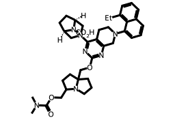 CCc1cccc2cccc(N3CCc4c(nc(OCC56CCCN5C(COC(=O)N(C)C)CC6)nc4N4C[C@H]5CC[C@@H](C4)N5C(=O)O)C3)c12